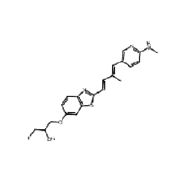 CNc1ccc(/C=C(C)/C=C/c2nc3ccc(OCC(O)CF)cc3s2)cn1